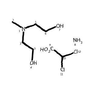 CN(CCO)CCO.N.O=C(O)C(Cl)Cl